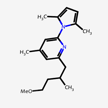 COCCC(C)Cc1cc(C)cc(-n2c(C)ccc2C)n1